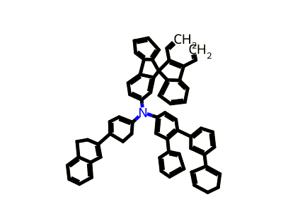 C=CC1=C(C=C)C2(c3ccccc31)c1ccccc1-c1ccc(N(C3=CC=C(C4=Cc5ccccc5CC4)CC3)c3ccc(-c4cccc(C5=CCCC=C5)c4)c(-c4ccccc4)c3)cc12